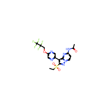 CCS(=O)(=O)c1nn2ccc(NC(C)=O)nc2c1-c1cnc(OCC(F)(F)C(F)(F)F)cn1